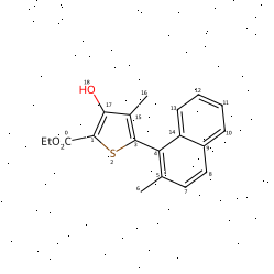 CCOC(=O)c1sc(-c2c(C)ccc3ccccc23)c(C)c1O